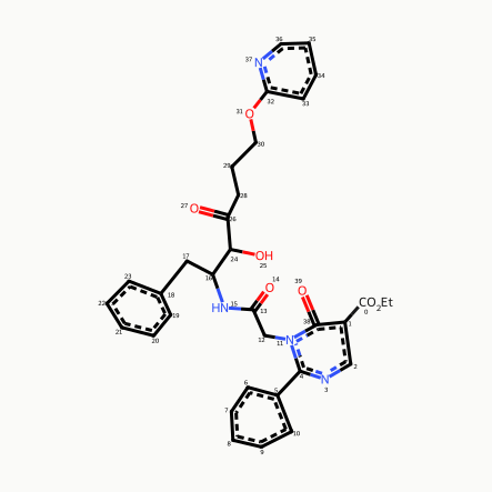 CCOC(=O)c1cnc(-c2ccccc2)n(CC(=O)NC(Cc2ccccc2)C(O)C(=O)CCCOc2ccccn2)c1=O